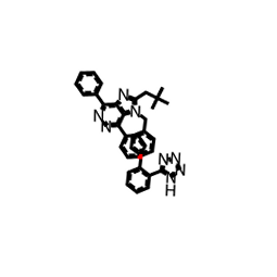 CC(C)(C)Cc1nc2c(-c3ccccc3)nnc(-c3ccccc3)c2n1Cc1ccc(-c2ccccc2-c2nnn[nH]2)cc1